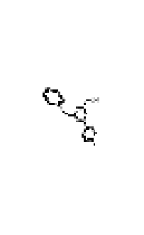 Cc1ccc(-c2cc(CO)nc(Cc3ccccc3)n2)cc1